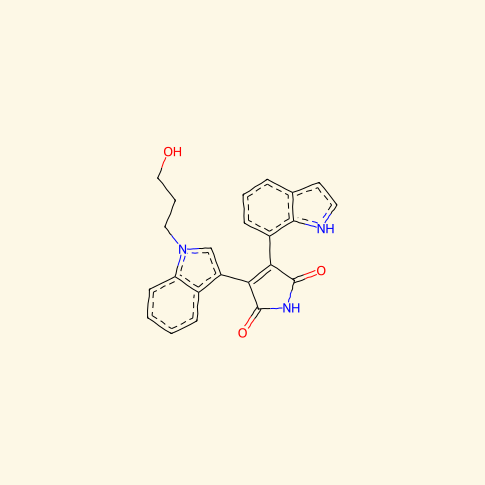 O=C1NC(=O)C(c2cccc3cc[nH]c23)=C1c1cn(CCCO)c2ccccc12